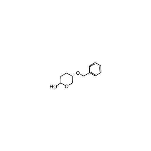 OC1CC[C@H](OCc2ccccc2)CO1